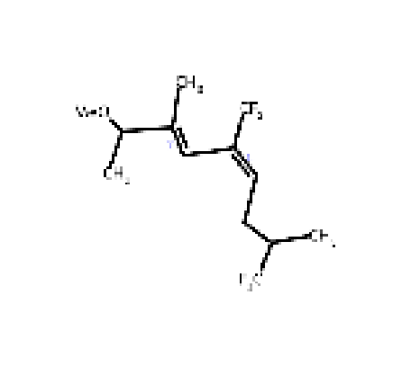 COC(C)/C(C)=C/C(=C\CC(C)C(F)(F)F)C(F)(F)F